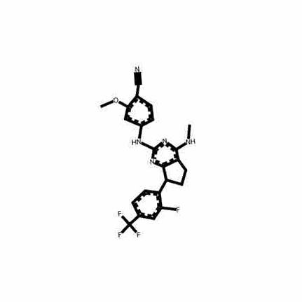 CNc1nc(Nc2ccc(C#N)c(OC)c2)nc2c1CCC2c1ccc(C(F)(F)F)cc1F